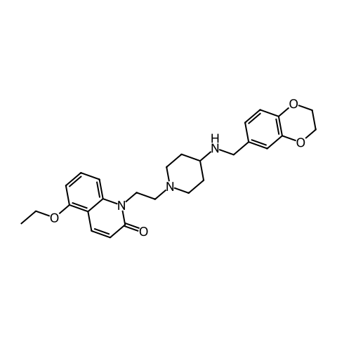 CCOc1cccc2c1ccc(=O)n2CCN1CCC(NCc2ccc3c(c2)OCCO3)CC1